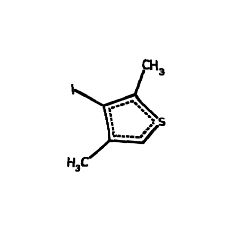 Cc1csc(C)c1I